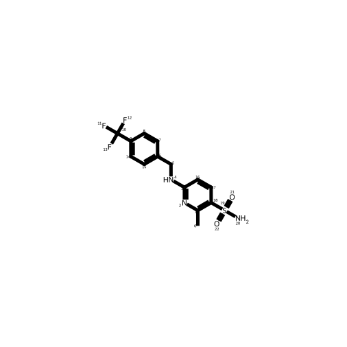 Cc1nc(NCc2ccc(C(F)(F)F)cc2)ccc1S(N)(=O)=O